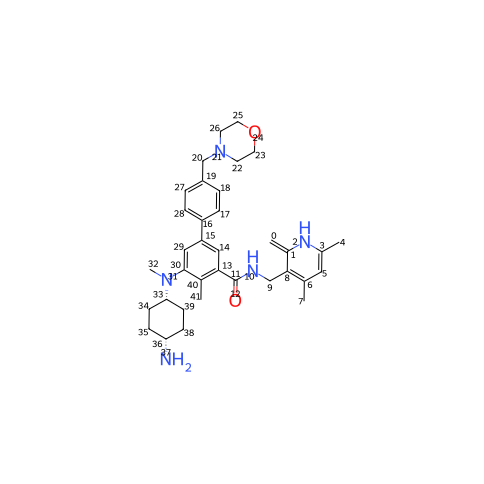 C=C1NC(C)=CC(C)=C1CNC(=O)c1cc(-c2ccc(CN3CCOCC3)cc2)cc(N(C)[C@H]2CC[C@@H](N)CC2)c1C